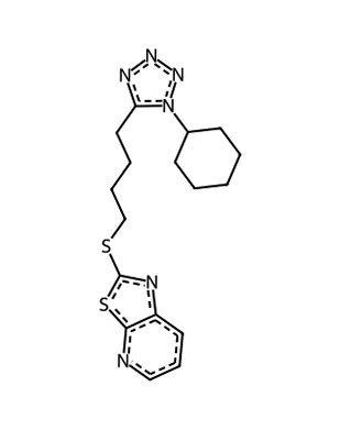 c1cnc2sc(SCCCCc3nnnn3C3CCCCC3)nc2c1